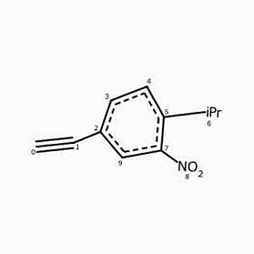 C#Cc1ccc(C(C)C)c([N+](=O)[O-])c1